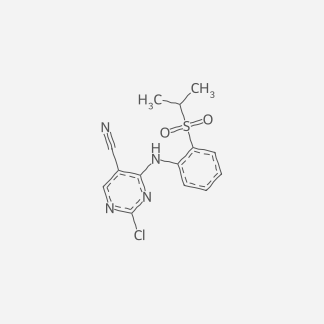 CC(C)S(=O)(=O)c1ccccc1Nc1nc(Cl)ncc1C#N